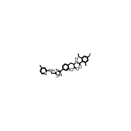 CCc1cc(F)cc(C)c1C(=O)NC(Cc1ccc(-c2nsc(CNc3cc(C)ccn3)n2)cc1)C(=O)O